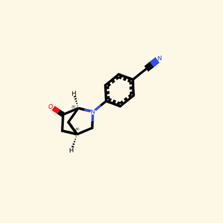 N#Cc1ccc(N2C[C@H]3CC(=O)[C@@H]2C3)cc1